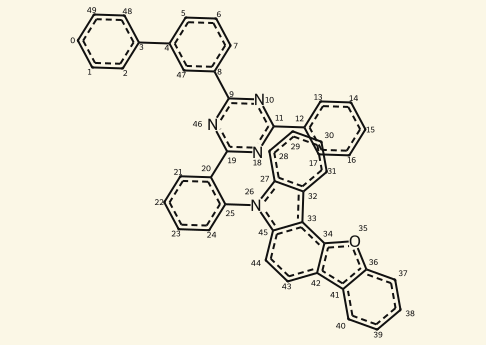 c1ccc(-c2cccc(-c3nc(-c4ccccc4)nc(-c4ccccc4-n4c5ccccc5c5c6oc7ccccc7c6ccc54)n3)c2)cc1